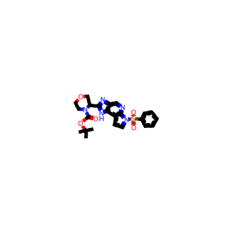 CC(C)(C)OC(=O)N1CCOCC1c1nc2cnc3c(ccn3S(=O)(=O)c3ccccc3)c2[nH]1